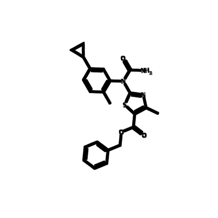 Cc1ccc(C2CC2)cc1N(C(N)=O)c1nc(C)c(C(=O)OCc2ccccc2)s1